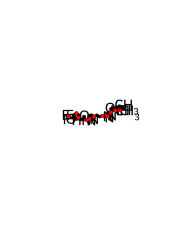 CC(C)(CCl)CNC(=O)c1cn(CCCCc2ccc(NC(=O)Cc3cccc(OC(F)(F)F)c3)nn2)nn1